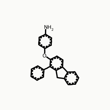 Nc1ccc(Oc2ccc3c(c2-c2ccccc2)Cc2ccccc2-3)cc1